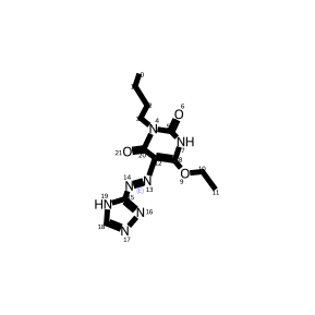 CCCCn1c(=O)[nH]c(OCC)c(/N=N/c2nnc[nH]2)c1=O